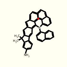 CC1(C)c2cc(N)ccc2-c2cc3c(N(c4cccc5ccccc45)c4cccc5ccccc45)c4ccccc4cc3cc21